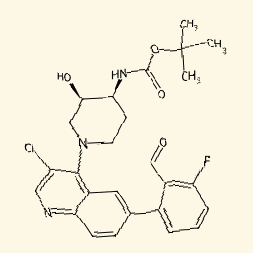 CC(C)(C)OC(=O)N[C@H]1CCN(c2c(Cl)cnc3ccc(-c4cccc(F)c4C=O)cc23)C[C@H]1O